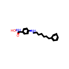 O=C(NO)c1ccc(NCCCCCCCc2ccccc2)cc1